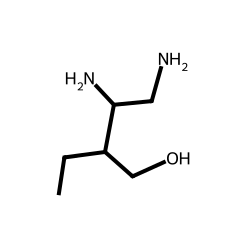 CCC(CO)C(N)CN